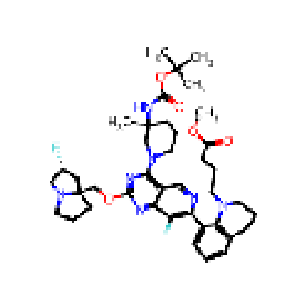 COC(=O)CCCN1CCCc2cccc(-c3ncc4c(N5CCC[C@@](C)(NC(=O)OC(C)(C)C)C5)nc(OC[C@@]56CCCN5C[C@H](F)C6)nc4c3F)c21